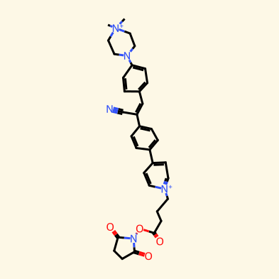 C[N+]1(C)CCN(c2ccc(/C=C(\C#N)c3ccc(-c4cc[n+](CCCC(=O)ON5C(=O)CCC5=O)cc4)cc3)cc2)CC1